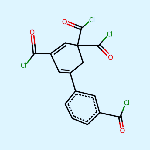 O=C(Cl)C1=CC(C(=O)Cl)(C(=O)Cl)CC(c2cccc(C(=O)Cl)c2)=C1